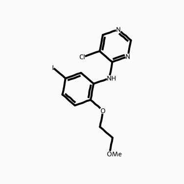 COCCOc1ccc(I)cc1Nc1ncncc1Cl